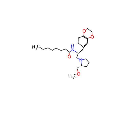 CCCCCCCC(=O)N[C@@H](Cc1ccc2c(c1)OCCO2)CN1CCC[C@@H]1COC